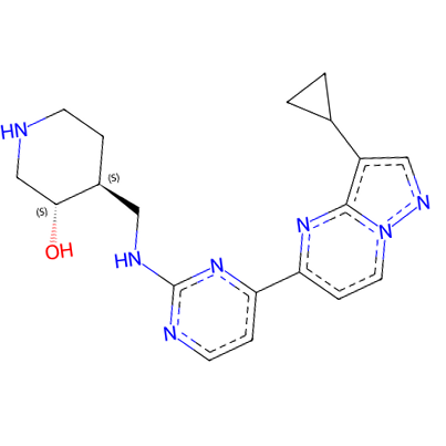 O[C@@H]1CNCC[C@H]1CNc1nccc(-c2ccn3ncc(C4CC4)c3n2)n1